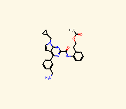 CC(=O)OCCc1ccccc1NC(=O)c1nc(-c2cccc(CN)c2)c2ccn(CC3CC3)c2n1